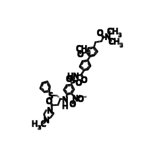 COc1cc(CCC(=O)N(C)C)ccc1-c1ccc(C(=O)NS(=O)(=O)c2ccc(N[C@@H](CSc3ccccc3)CC(=O)N3CCN(C)CC3)c([N+](=O)[O-])c2)cc1